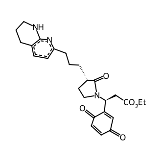 CCOC(=O)C[C@@H](C1=CC(=O)C=CC1=O)N1CC[C@H](CCCc2ccc3c(n2)NCCC3)C1=O